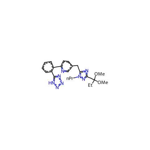 CCCn1nc(C(CC)(OC)OC)nc1Cc1ccc(-c2ccccc2-c2nnn[nH]2)nc1